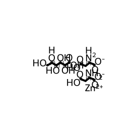 N[C@@H](CC(=O)O)C(=O)[O-].N[C@@H](CC(=O)O)C(=O)[O-].O=C(O)[C@H](O)[C@@H](O)[C@H](O)[C@H](O)CO.[Zn+2]